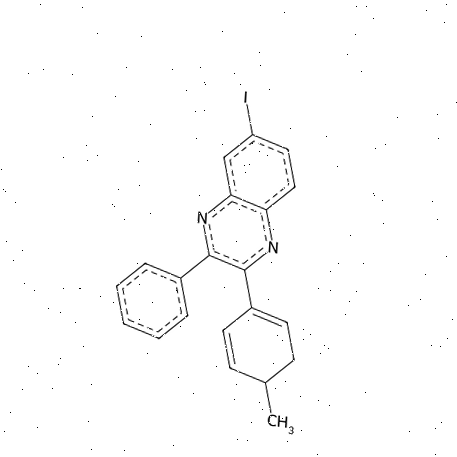 CC1C=CC(c2nc3ccc(I)cc3nc2-c2ccccc2)=CC1